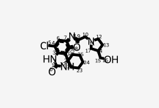 O=C1Nc2c(Cl)cc3nc(CN4CCC(CO)C4)oc3c2C2(CCCCC2)N1